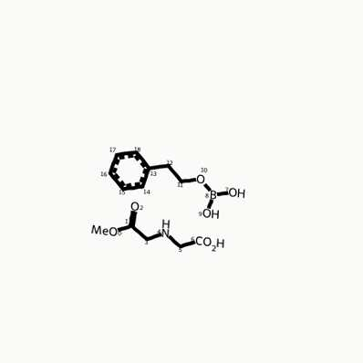 COC(=O)CNCC(=O)O.OB(O)OCCc1ccccc1